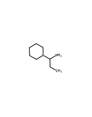 CCC(N)N1CCCCC1